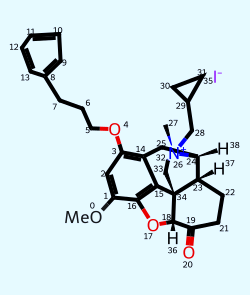 COc1cc(OCCCc2ccccc2)c2c3c1O[C@H]1C(=O)CC[C@H]4[C@@H](C2)[N@@+](C)(CC2CC2)CC[C@]314.[I-]